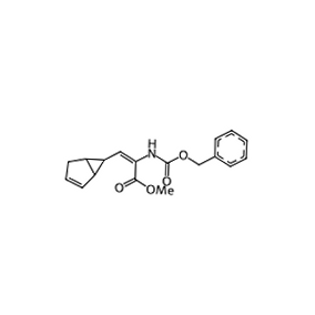 COC(=O)/C(=C\C1C2C=CCC21)NC(=O)OCc1ccccc1